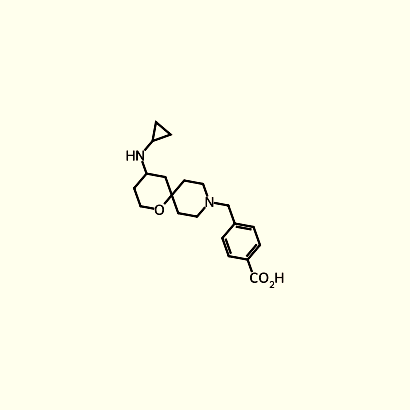 O=C(O)c1ccc(CN2CCC3(CC2)CC(NC2CC2)CCO3)cc1